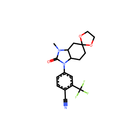 CN1C(=O)N(c2ccc(C#N)c(C(F)(F)F)c2)C2CCC3(CC21)OCCO3